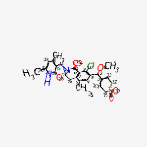 COC(c1cc(C)c2c(c1Cl)C(=O)N(Cc1c(C)cc(C)[nH]c1=O)CC2)C1CCS(=O)(=O)CC1